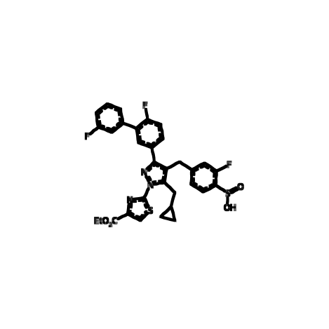 CCOC(=O)c1csc(-n2nc(-c3ccc(F)c(-c4cccc(F)c4)c3)c(Cc3ccc(S(=O)O)c(F)c3)c2CC2CC2)n1